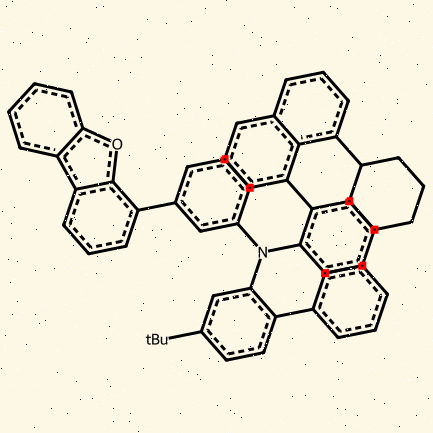 CC(C)(C)c1ccc(-c2ccccc2)c(N(c2cccc(-c3cccc4c3oc3ccccc34)c2)c2ccccc2-c2cccc3cccc(C4CCCCC4)c23)c1